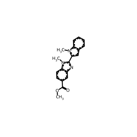 COC(=O)c1ccc2c(c1)nc(-c1cc3ccccc3n1C)n2C